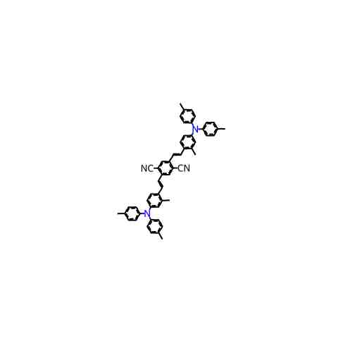 Cc1ccc(N(c2ccc(C)cc2)c2ccc(/C=C/c3cc(C#N)c(/C=C/c4ccc(N(c5ccc(C)cc5)c5ccc(C)cc5)cc4C)cc3C#N)c(C)c2)cc1